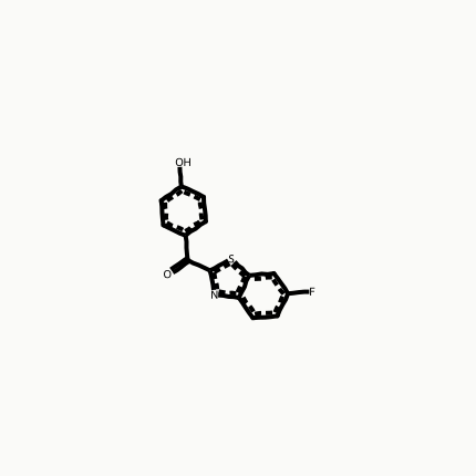 O=C(c1ccc(O)cc1)c1nc2ccc(F)cc2s1